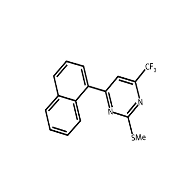 CSc1nc(-c2cccc3ccccc23)cc(C(F)(F)F)n1